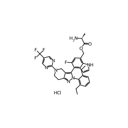 CCc1cccc(CC)c1-n1nc2c(c1-c1c(F)cc(COC(=O)[C@H](C)N)c3[nH]ccc13)CN(c1ncc(C(F)(F)F)cn1)CC2.Cl